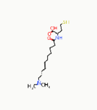 CN(C)CCCCCCCCCCC(=O)NC(CCS)C(=O)O